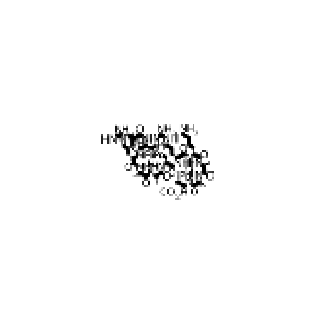 CC(C)C[C@H](NC(=O)[C@H](C)NC(=O)[C@H](C)NC(=O)[C@H](CCCCN)NC(=O)[C@H](CCCNC(=N)N)NC(=O)[C@H](CC(C)C)NC(=O)[C@H](C)NC(=O)[C@H](C)NC(=O)[C@H](CCCNC(=N)N)NC(=O)[C@H](CC(C)C)NC(=O)[C@@H](N)CC(C)C)C(=O)O